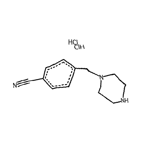 Cl.Cl.N#Cc1ccc(CN2CCNCC2)cc1